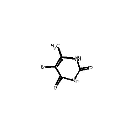 Cc1[nH]c(=O)[nH]c(=O)c1Br